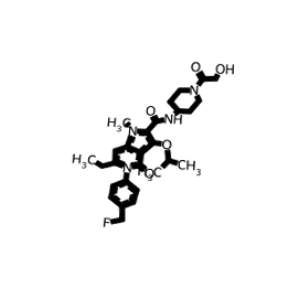 CCc1cc2c(c(OC(C)C)c(C(=O)NC3CCN(C(=O)CO)CC3)n2C)c(=O)n1-c1ccc(CF)cc1